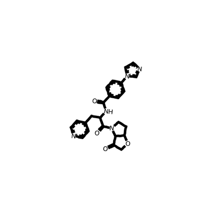 O=C(NC(Cc1ccncc1)C(=O)N1CCC2OCC(=O)C21)c1ccc(-n2ccnc2)cc1